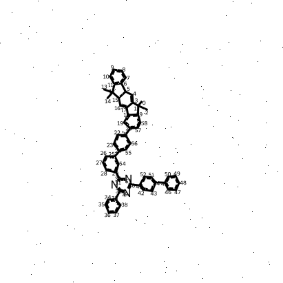 CC1(C)C2=CC3c4ccccc4C(C)(C)C3C=C2c2cc(-c3ccc(-c4cccc(-c5nc(-c6ccccc6)nc(-c6ccc(-c7ccccc7)cc6)n5)c4)cc3)ccc21